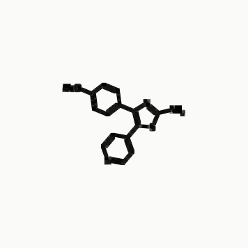 COc1ccc(-c2nc(N)sc2-c2ccncc2)cc1